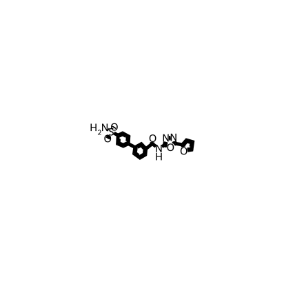 NS(=O)(=O)c1ccc(-c2cccc(C(=O)Nc3nnc(-c4ccco4)o3)c2)cc1